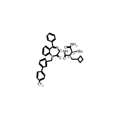 CCCC[C@H](C(N)=O)[C@@H](CC1CCC1)C(=O)N[C@H]1N=C(c2ccccc2)c2ccccc2N(Cc2cccc(-c3ccc(C(F)(F)F)cc3)c2)C1=O